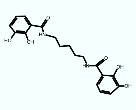 O=C(NCCCCCNC(=O)c1cccc(O)c1O)c1cccc(O)c1O